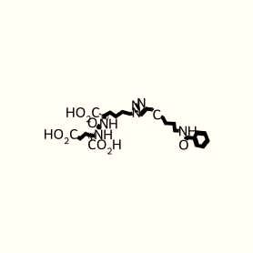 O=C(O)CC[C@H](NC(=O)N[C@@H](CCCCn1cc(CCCCCCNC(=O)c2ccccc2)nn1)C(=O)O)C(=O)O